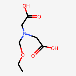 CCOCN(CC(=O)O)CC(=O)O